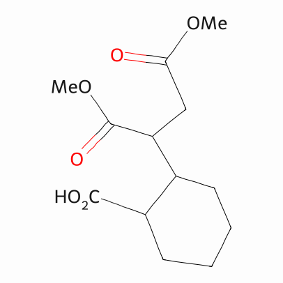 COC(=O)CC(C(=O)OC)C1CCCCC1C(=O)O